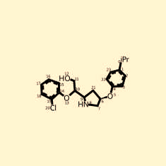 CC(C)c1ccc(O[C@H]2CNC(C(CO)Oc3ccccc3Cl)C2)cc1